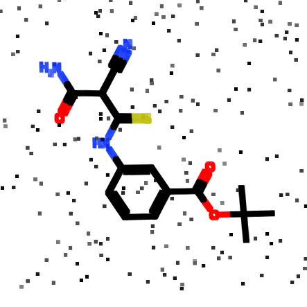 CC(C)(C)OC(=O)c1cccc(NC(=S)C(C#N)C(N)=O)c1